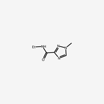 CCNC(=O)c1ncn(C)n1